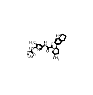 Cc1cc(NC(=O)C(=O)N2C[C@@H](C)CC[C@@H]2c2ccc3c(c2)CCCN3)cnc1NC(=O)OC(C)(C)C